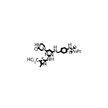 CCCS(=O)(=O)Nc1ccc(CNc2cc(N3CCNC(=O)C3)nc(Nc3nc(C)c(C(=O)O)s3)n2)cc1